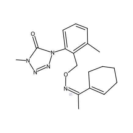 C/C(=N/OCc1c(C)cccc1-n1nnn(C)c1=O)C1=CCCCC1